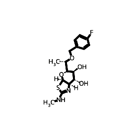 CNC1=N[C@@H]2[C@@H](O)[C@H](O)[C@@H]([C@H](C)OCc3ccc(F)cc3)O[C@@H]2S1